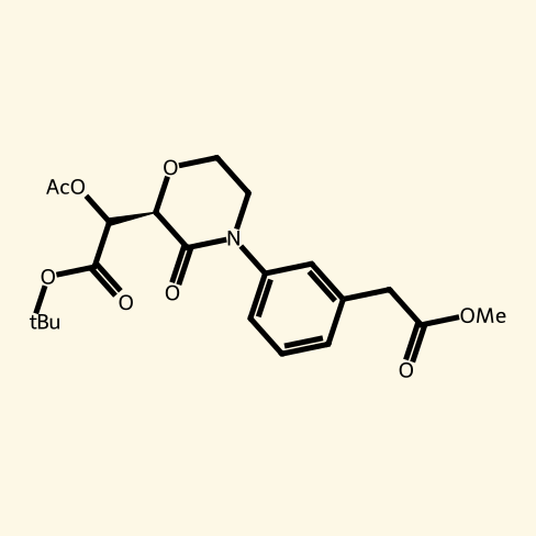 COC(=O)Cc1cccc(N2CCO[C@H](C(OC(C)=O)C(=O)OC(C)(C)C)C2=O)c1